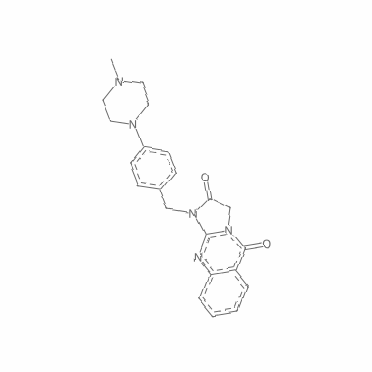 CN1CCN(c2ccc(CN3C(=O)Cn4c3nc3ccccc3c4=O)cc2)CC1